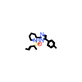 C/C=C/C(C)[S+]([O-])N1CCCCC1c1ncc(-c2ccc(C)cc2)[nH]1